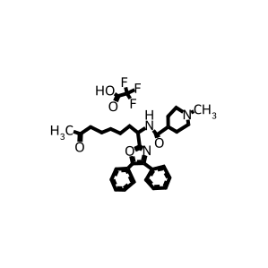 CC(=O)CCCCCC(NC(=O)C1CCN(C)CC1)c1nc(-c2ccccc2)c(-c2ccccc2)o1.O=C(O)C(F)(F)F